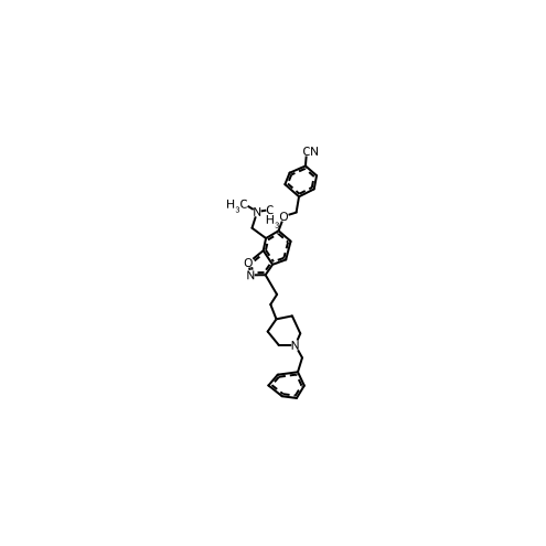 CN(C)Cc1c(OCc2ccc(C#N)cc2)ccc2c(CCC3CCN(Cc4ccccc4)CC3)noc12